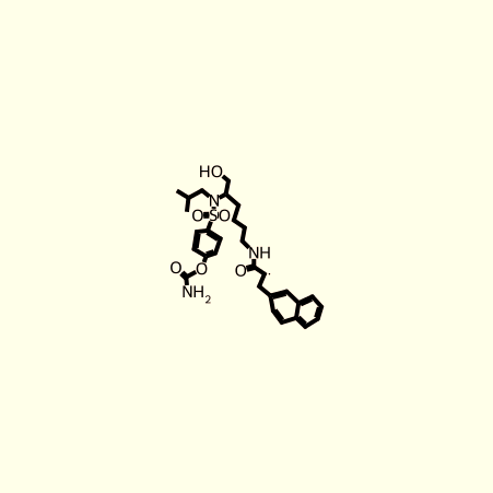 CC(C)CN(C(CO)CCCCNC(=O)[CH]Cc1ccc2ccccc2c1)S(=O)(=O)c1ccc(OC(N)=O)cc1